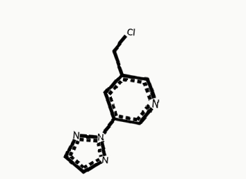 ClCc1cncc(-n2nccn2)c1